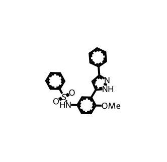 COc1ccc(NS(=O)(=O)c2ccccc2)cc1-c1cc(-c2ccccc2)n[nH]1